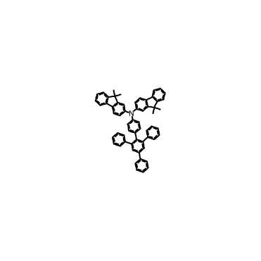 CC1(C)c2ccccc2-c2ccc(N(c3ccc(-c4c(-c5ccccc5)cc(-c5ccccc5)cc4-c4ccccc4)cc3)c3ccc4c(c3)C(C)(C)c3ccccc3-4)cc21